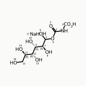 O=C(O)NC(=O)OC(O)[C@@H](O)[C@@H](O)[C@H](O)[C@H](O)CO.[NaH]